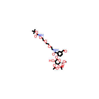 COC(=O)[C@H]1OC(Oc2ccc(C=O)cc2C(=O)NCCOCCOCCONC(=O)OC(C)(C)C)[C@H](O)[C@@H](OC(C)=O)[C@@H]1OC(C)=O